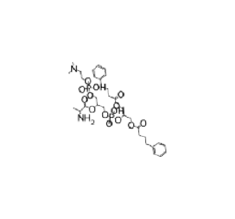 CC(N)C(=O)OC(COP(=O)(O)OCCN(C)C)COP(=O)(O)OC(COC(=O)CCCc1ccccc1)COC(=O)CCCc1ccccc1